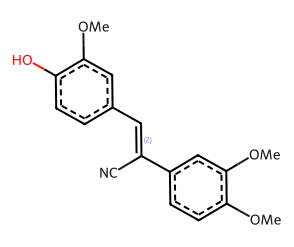 COc1cc(/C=C(\C#N)c2ccc(OC)c(OC)c2)ccc1O